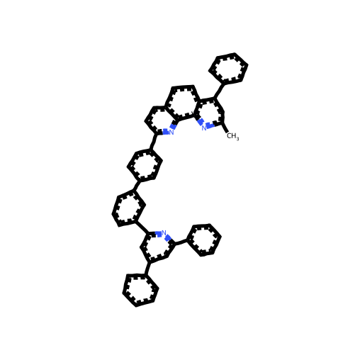 Cc1cc(-c2ccccc2)c2ccc3ccc(-c4ccc(-c5cccc(-c6cc(-c7ccccc7)cc(-c7ccccc7)n6)c5)cc4)nc3c2n1